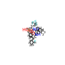 CNC(=O)C(NC(=O)C(CCC(F)(F)F)CP(=O)(O)Cc1ccc(Cc2ccccc2F)cc1)C(C)(C)C